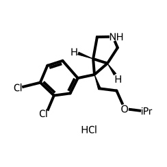 CC(C)OCC[C@@]1(c2ccc(Cl)c(Cl)c2)[C@@H]2CNC[C@@H]21.Cl